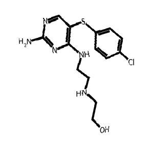 Nc1ncc(Sc2ccc(Cl)cc2)c(NCCNCCO)n1